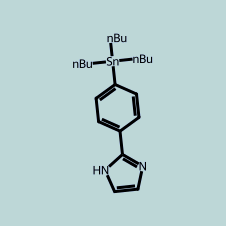 CCC[CH2][Sn]([CH2]CCC)([CH2]CCC)[c]1ccc(-c2ncc[nH]2)cc1